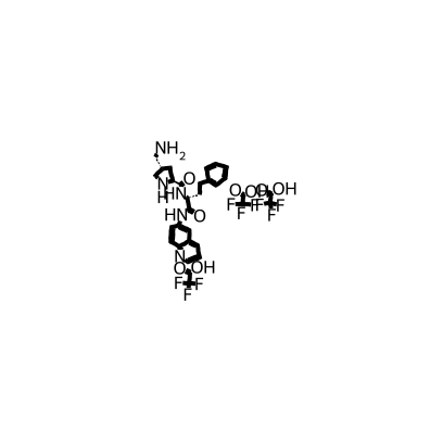 NC[C@H]1CN[C@H](C(=O)N[C@H](CCc2ccccc2)C(=O)Nc2ccc3ncccc3c2)C1.O=C(O)C(F)(F)F.O=C(O)C(F)(F)F.O=C(O)C(F)(F)F